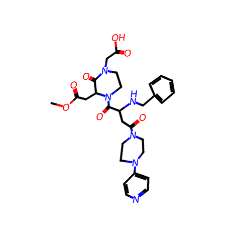 COC(=O)CC1C(=O)N(CC(=O)O)CCN1C(=O)C(CC(=O)N1CCN(c2ccncc2)CC1)NCc1ccccc1